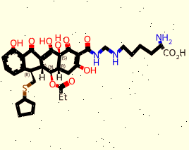 CCC(=O)O[C@H]1[C@H]2C(=C(O)[C@]3(O)C(=O)C(C(=O)NCNCCCCC(N)C(=O)O)=C(O)C[C@H]13)C(=O)c1c(O)cccc1[C@@H]2CSC1CCCC1